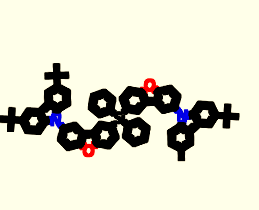 Cc1ccc2c(c1)c1cc(C(C)(C)C)ccc1n2-c1ccc2oc3ccc([Si](c4ccccc4)(c4ccccc4)c4ccc5oc6ccc(-n7c8ccc(C(C)(C)C)cc8c8cc(C(C)(C)C)ccc87)cc6c5c4)cc3c2c1